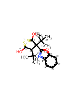 CC(C)(C)C(C(O)=S)C(C(O)=S)(c1nc2ccccc2o1)C(C)(C)C